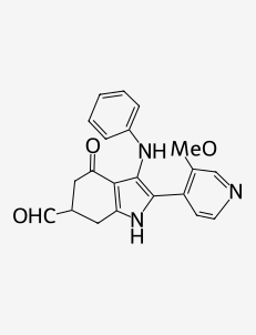 COc1cnccc1-c1[nH]c2c(c1Nc1ccccc1)C(=O)CC(C=O)C2